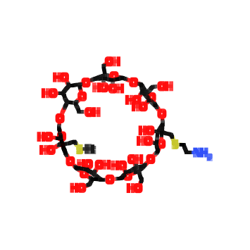 CCSCC1OC2OC3C(CO)OC(OC4C(CO)OC(OC5C(CO)OC(OC6C(CSCCN)OC(OC7C(CO)OC(OC8C(CO)OC(OC1C(O)C2O)C(O)C8O)C(O)C7O)C(O)C6O)C(O)C5O)C(O)C4O)C(O)C3O